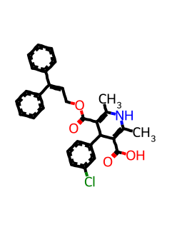 CC1=C(C(=O)O)C(c2cccc(Cl)c2)C(C(=O)OCC=C(c2ccccc2)c2ccccc2)=C(C)N1